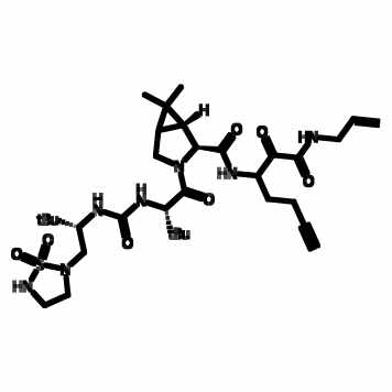 C#CCCC(NC(=O)[C@@H]1[C@@H]2C(CN1C(=O)[C@@H](NC(=O)N[C@H](CN1CCNS1(=O)=O)C(C)(C)C)C(C)(C)C)C2(C)C)C(=O)C(=O)NCC=C